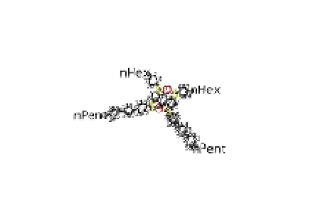 CCCCCCc1ccc(Sc2ccc(Sc3ccc(-c4ccc(C5CCC(CCCCC)CC5)cc4)cc3)c3c2C(=O)c2c(Sc4ccc(CCCCCC)cc4)ccc(Sc4ccc(-c5ccc(C6CCC(CCCCC)CC6)cc5)cc4)c2C3=O)cc1